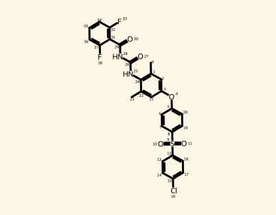 Cc1cc(Oc2ccc(S(=O)(=O)c3ccc(Cl)cc3)cc2)cc(C)c1NC(=O)NC(=O)c1c(F)cccc1F